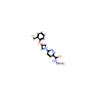 CC(=O)NNC(=O)c1ccc(N2CC(Oc3ccccc3CF)C2)nn1